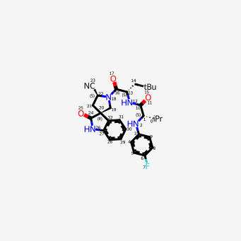 CC(C)[C@H](Nc1ccc(F)cc1)C(=O)N[C@@H](CC(C)(C)C)C(=O)N1C[C@]2(C[C@H]1C#N)C(=O)Nc1ccccc12